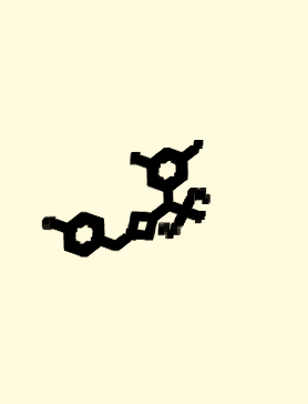 CC(C)(F)C(c1cc(F)cc(F)c1)C1CN(Cc2ccc(Cl)cc2)C1